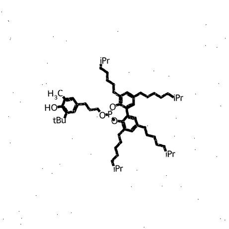 Cc1cc(CCCOp2oc3c(CCCCCC(C)C)cc(CCCCCC(C)C)cc3c3cc(CCCCCC(C)C)cc(CCCCCC(C)C)c3o2)cc(C(C)(C)C)c1O